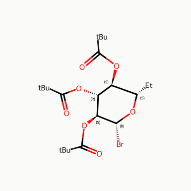 CC[C@@H]1O[C@H](Br)[C@@H](OC(=O)C(C)(C)C)[C@H](OC(=O)C(C)(C)C)[C@H]1OC(=O)C(C)(C)C